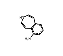 Nc1cccc2c1C=CNC=C2